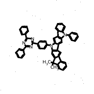 CC1(C)c2ccccc2-c2cc3c4cc5c(cc4n(-c4ccc(-c6nc(-c7ccccc7)nc(-c7ccccc7)n6)cc4)c3cc21)c1ccccc1n5-c1ccccc1